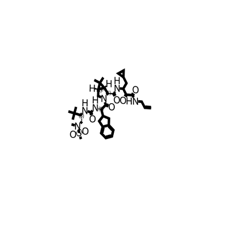 C=CCNC(=O)C(=O)C(CC1CC1)NC(=O)[C@@H]1[C@@H]2[C@H](CN1C(=O)[C@@H](NC(=O)N[C@H](CN(C)S(C)(=O)=O)C(C)(C)C)C1Cc3ccccc3C1)C2(C)C